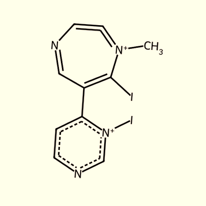 C[N+]1=C=CN=CC(c2ccnc[n+]2I)=C1I